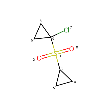 O=S(=O)(C1CC1)C1(Cl)CC1